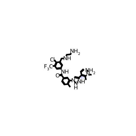 C=C/C(C1=CN(c2cc(C(=O)Nc3cc(CNCCN)c(Cl)c(C(F)(F)F)c3)ccc2C)NN1)=C(/C)N(C)N